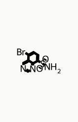 NS(=O)(=O)c1ccc(Br)c2cncnc12